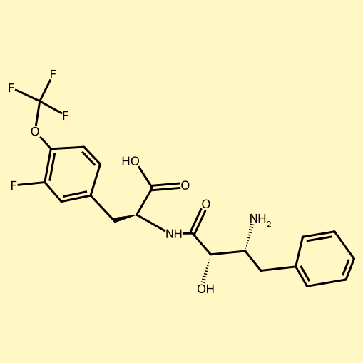 N[C@H](Cc1ccccc1)[C@H](O)C(=O)N[C@@H](Cc1ccc(OC(F)(F)F)c(F)c1)C(=O)O